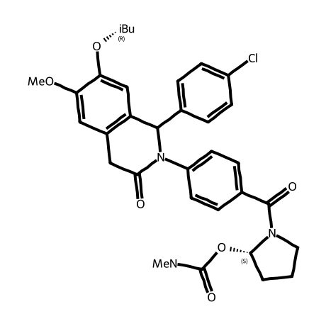 CC[C@@H](C)Oc1cc2c(cc1OC)CC(=O)N(c1ccc(C(=O)N3CCC[C@@H]3OC(=O)NC)cc1)C2c1ccc(Cl)cc1